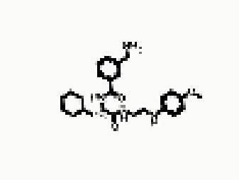 COc1ccc(NCCNC(=O)[C@H](CC2CCCCC2)NC(=O)c2cccc(CN)c2)cc1